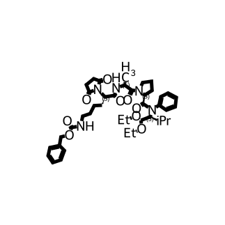 CCOC(OCC)[C@H](C(C)C)N(C(=O)[C@@H]1CCCN1C(=O)[C@H](C)NC(=O)[C@H](CCCCNC(=O)OCc1ccccc1)N1C(=O)CCC1=O)c1ccccc1